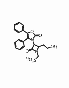 O=C1C(n2c(-c3ccccc3)c(-c3ccccc3)oc2=O)C(CCO)N1CS(=O)(=O)O